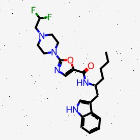 CCCCC(Cc1c[nH]c2ccccc12)NC(=O)c1cnc(N2CCN(CC(F)F)CC2)o1